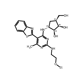 CCOCCNc1nc(C)c(-c2nc3ccccc3s2)c(N[C@@H]2C[C@@H](CO)[C@@H](O)[C@H]2O)n1